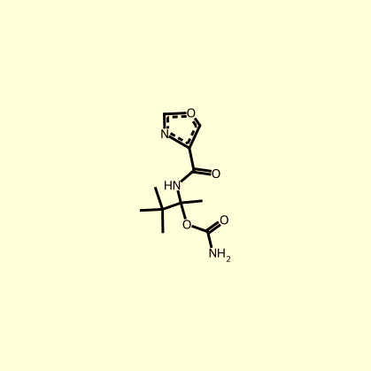 CC(C)(C)C(C)(NC(=O)c1cocn1)OC(N)=O